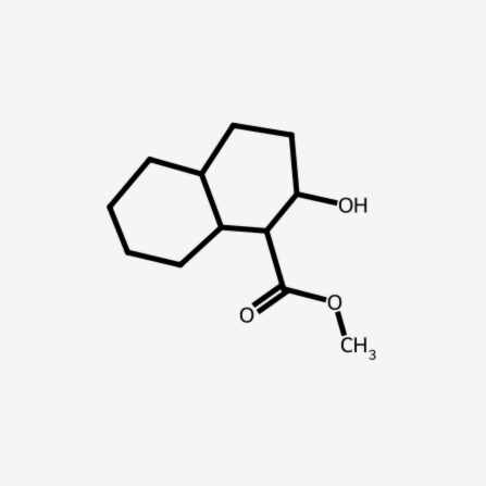 COC(=O)C1C(O)CCC2CCCCC21